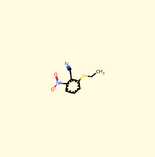 CCSc1cccc([N+](=O)[O-])c1C#N